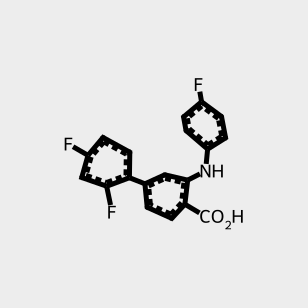 O=C(O)c1ccc(-c2ccc(F)cc2F)cc1Nc1ccc(F)cc1